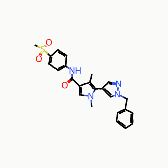 Cc1c(C(=O)Nc2ccc(S(C)(=O)=O)cc2)cn(C)c1-c1cnn(Cc2ccccc2)c1